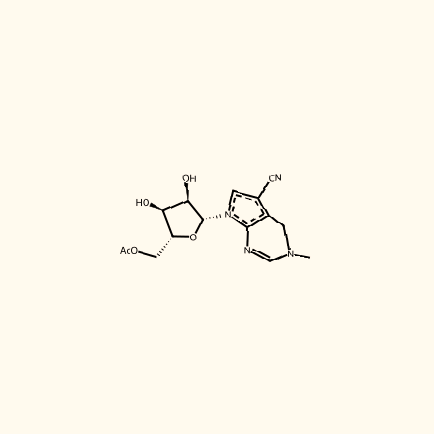 CC(=O)OC[C@H]1O[C@@H](n2cc(C#N)c3c2N=CN(C)C3)[C@H](O)[C@@H]1O